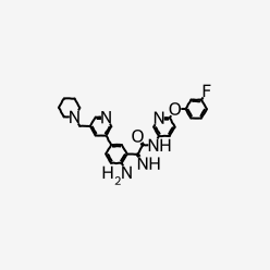 N=C(C(=O)Nc1ccc(Oc2cccc(F)c2)nc1)c1cc(-c2cncc(CN3CCCCC3)c2)ccc1N